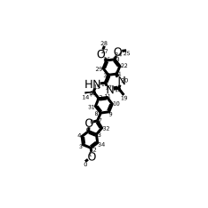 COc1ccc2oc(-c3cccc([C@@H](C)Nc4nc(C)nc5cc(OC)c(OC)cc45)c3)cc2c1